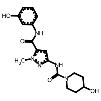 Cn1nc(NC(=O)N2CCC(O)CC2)cc1C(=O)Nc1cccc(O)c1